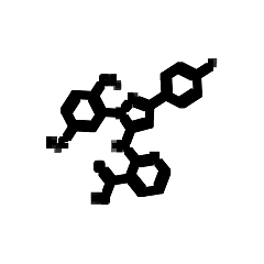 Cc1ccc(C)c(-n2nc(-c3ccc(F)cc3)cc2Nc2ncccc2C(=O)O)c1